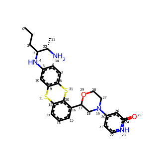 CCCC(Nc1ccc2c(c1)Sc1cccc(C3CN(c4cc[nH]c(=O)c4)CCO3)c1S2)[C@H](C)N